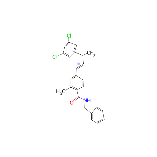 Cc1cc(/C=C/C(c2cc(Cl)cc(Cl)c2)C(F)(F)F)ccc1C(=O)NCc1ccccc1